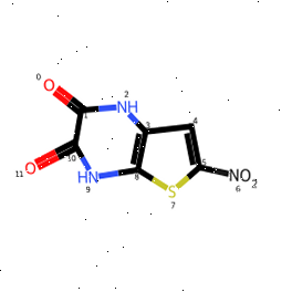 O=c1[nH]c2cc([N+](=O)[O-])sc2[nH]c1=O